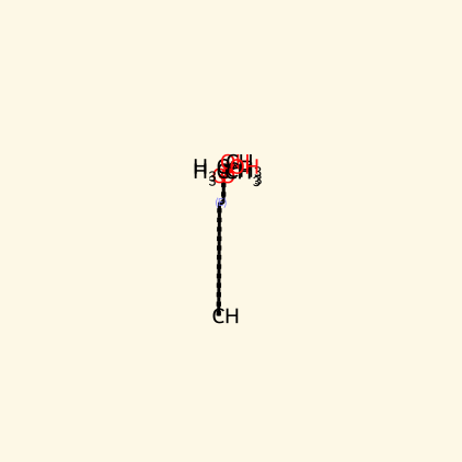 C#CC#CC#CC#CC#CC#CC#CC#CC#CC#CC#CC#C/C=C/C#CC#CC(=O)OC(C)(C)C(C)(O)C(C)(C)O